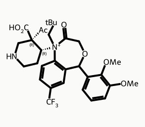 COc1cccc(C2OCC(=O)[N+](CC(C)(C)C)([C@@H]3CCNC[C@@]3(C(C)=O)C(=O)O)c3ccc(C(F)(F)F)cc32)c1OC